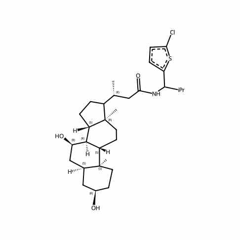 CC(C)C(NC(=O)C[C@@H](C)C1CC[C@H]2[C@@H]3[C@H](O)C[C@@H]4C[C@H](O)CC[C@]4(C)[C@H]3CC[C@]12C)c1ccc(Cl)s1